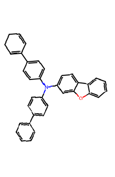 C1=CC(c2ccc(N(c3ccc(-c4ccccc4)cc3)c3ccc4c(c3)oc3ccccc34)cc2)=CCC1